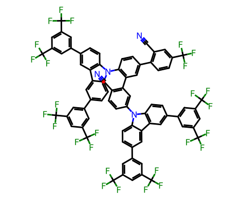 N#Cc1cc(C(F)(F)F)ccc1-c1ccc(-n2c3ccc(-c4cc(C(F)(F)F)cc(C(F)(F)F)c4)cc3c3cc(-c4cc(C(F)(F)F)cc(C(F)(F)F)c4)ccc32)c(-c2cc(-n3c4ccc(-c5cc(C(F)(F)F)cc(C(F)(F)F)c5)cc4c4cc(-c5cc(C(F)(F)F)cc(C(F)(F)F)c5)ccc43)ccc2C#N)c1